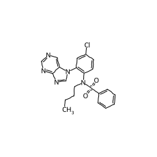 CCCCN(c1ccc(Cl)cc1-n1cnc2ncncc21)S(=O)(=O)c1ccccc1